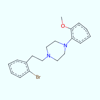 COc1ccccc1N1CCN(CCc2ccccc2Br)CC1